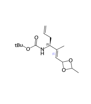 C=CC[C@H](NC(=O)OC(C)(C)C)/C(C)=C/C1OC(C)O1